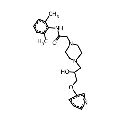 Cc1cccc(C)c1NC(=O)CN1CCN(CC(O)COc2cccnc2)CC1